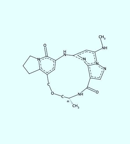 CNc1cc2nc3c(cnn13)C(=O)N[C@H](C)COCc1cc(c(=O)n3c1CCC3)N2